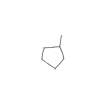 CC1[CH]C[CH]C1